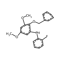 COc1cc(OC)c(OCc2ccccc2)c(Pc2ccccc2F)c1